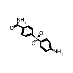 NC(=O)c1ccc(S(=O)(=O)c2ccc(N)cc2)cc1